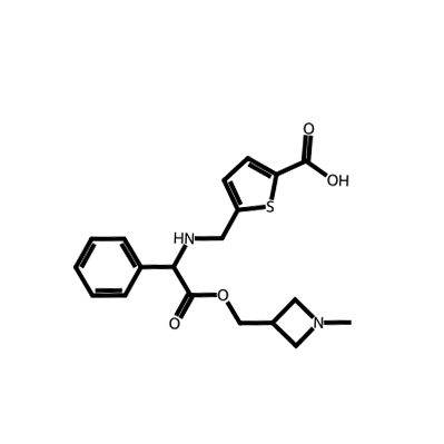 CN1CC(COC(=O)C(NCc2ccc(C(=O)O)s2)c2ccccc2)C1